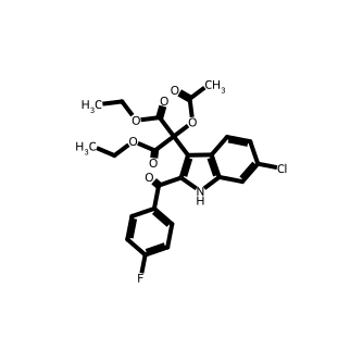 CCOC(=O)C(OC(C)=O)(C(=O)OCC)c1c(C(=O)c2ccc(F)cc2)[nH]c2cc(Cl)ccc12